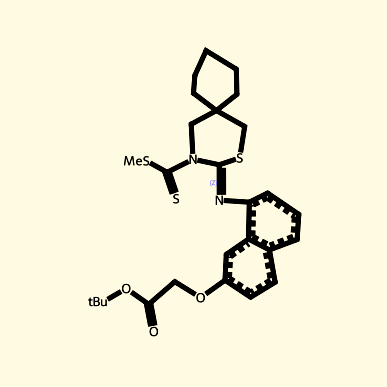 CSC(=S)N1CC2(CCCCC2)CS/C1=N\c1cccc2ccc(OCC(=O)OC(C)(C)C)cc12